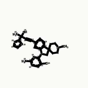 CN1CCC2(CC1)CN(c1nc(N)ncc1Cl)c1cc(C#CC(C)(O)c3nccs3)ccc12